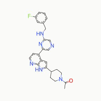 CC(=O)N1CCC(c2cc3c(-c4cncc(NCc5cccc(F)c5)n4)ccnc3[nH]2)CC1